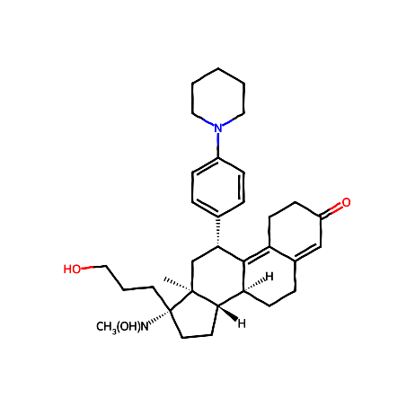 CN(O)[C@@]1(CCCO)CC[C@H]2[C@@H]3CCC4=CC(=O)CCC4=C3[C@@H](c3ccc(N4CCCCC4)cc3)C[C@@]21C